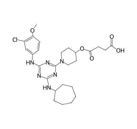 COc1ccc(Nc2nc(NC3CCCCCC3)nc(N3CCC(OC(=O)CCC(=O)O)CC3)n2)cc1Cl